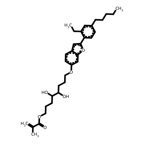 C=C(C)C(=O)OCCCC(O)C(O)CCCOc1ccc2cc(-c3ccc(CCCCC)cc3CC)oc2c1